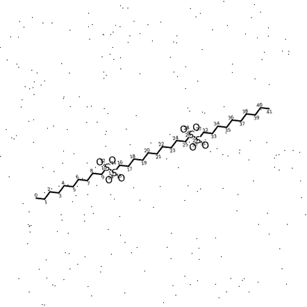 CCCCCCCCCCS(=O)(=O)S(=O)(=O)CCCCCCCCCCS(=O)(=O)S(=O)(=O)CCCCCCCCCC